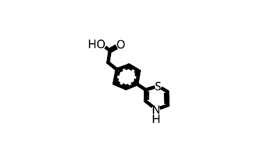 O=C(O)Cc1ccc(C2=CNC=CS2)cc1